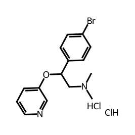 CN(C)CC(Oc1cccnc1)c1ccc(Br)cc1.Cl.Cl